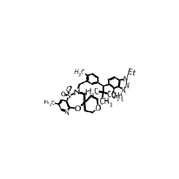 CCn1nnc2c(C)c(C(c3ccc(C)c(CN4CC5(CCOCC5)Oc5ncc(C)cc5S4(=O)=O)c3)C(C)(C)C(=O)O)ccc21